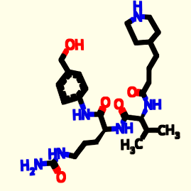 CC(C)[C@H](NC(=O)CCCC1CCNCC1)C(=O)N[C@@H](CCCNC(N)=O)C(=O)Nc1ccc(CO)cc1